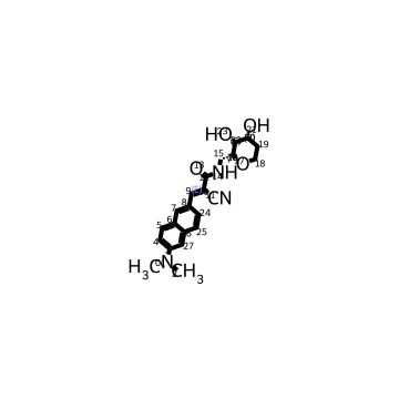 CN(C)c1ccc2cc(/C=C(\C#N)C(=O)NC[C@H]3OCC[C@@H](O)[C@@H]3O)ccc2c1